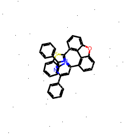 c1ccc(-c2cc(-c3cccc4oc5cccc(-c6nc7ccccc7s6)c5c34)nc(-c3ccccc3)n2)cc1